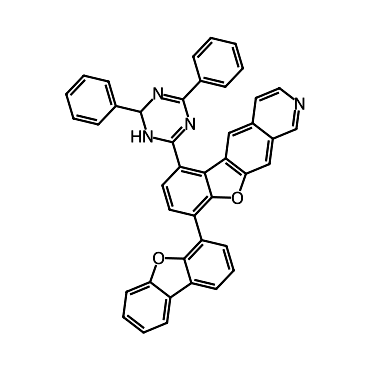 c1ccc(C2=NC(c3ccccc3)NC(c3ccc(-c4cccc5c4oc4ccccc45)c4oc5cc6cnccc6cc5c34)=N2)cc1